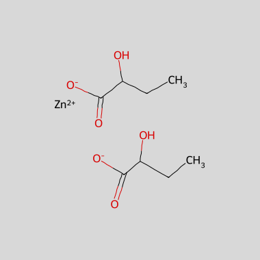 CCC(O)C(=O)[O-].CCC(O)C(=O)[O-].[Zn+2]